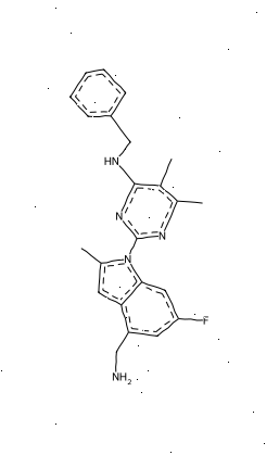 Cc1nc(-n2c(C)cc3c(CN)cc(F)cc32)nc(NCc2ccccc2)c1C